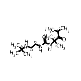 CC(C)C(=O)C(C)(C)NC(=O)NCCNC(C)(C)C